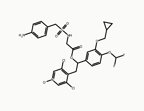 Nc1ccc(CS(=O)(=O)NCC(=O)OC(Cc2c(Cl)c[n+]([O-])cc2Cl)c2ccc(OC(F)F)c(OCC3CC3)c2)cc1